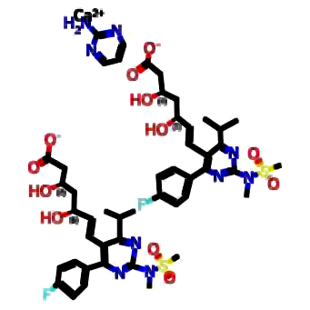 CC(C)c1nc(N(C)S(C)(=O)=O)nc(-c2ccc(F)cc2)c1C=C[C@@H](O)C[C@@H](O)CC(=O)[O-].CC(C)c1nc(N(C)S(C)(=O)=O)nc(-c2ccc(F)cc2)c1C=C[C@@H](O)C[C@@H](O)CC(=O)[O-].Nc1ncccn1.[Ca+2]